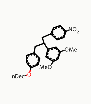 CCCCCCCCCCOc1ccc(C[C](Cc2ccc([N+](=O)[O-])cc2)c2cc(OC)cc(OC)c2)cc1